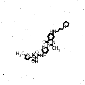 Cc1ccc(S(=O)(=O)NC(=O)Nc2ccc(-n3c(C)nc4cc(NCCCN5CCCC5)ccc4c3=O)nc2)s1